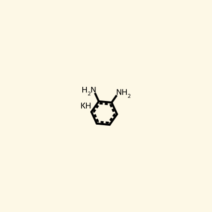 Nc1ccccc1N.[KH]